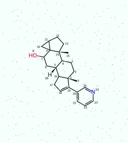 C[C@]12CCC3[C@@H](CC(O)C45CC4CC[C@]35C)C1CC=C2c1cccnc1